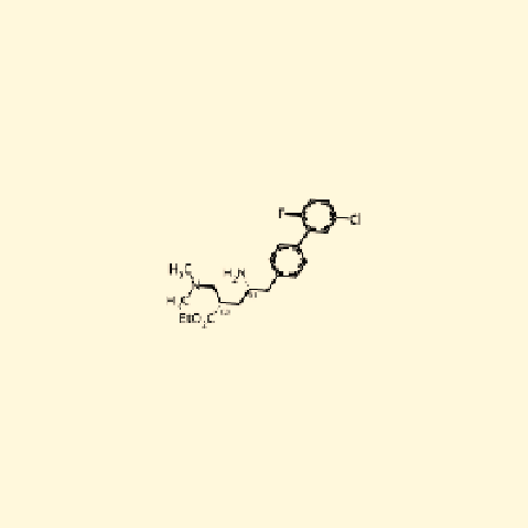 CCOC(=O)[C@@H](C[C@H](N)Cc1ccc(-c2cc(Cl)ccc2F)cc1)CN(C)C